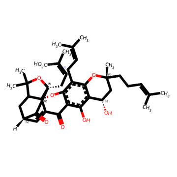 CC(C)=CCC[C@]1(C)C[C@H](O)c2c(O)c3c(c(CC=C(C)C)c2O1)O[C@]12C(=C[C@@H]4CC1C(C)(C)O[C@@]2(C/C=C(/C)C(=O)O)C4=O)C3=O